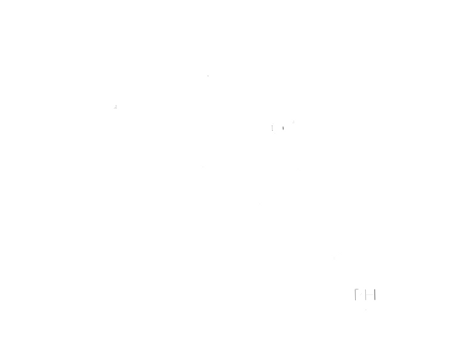 CC1C=C(Oc2ccc(P)cc2)C=CC1